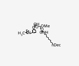 CCCCCCCCCCCCCCCCCCNC(=O)OCC(COP(O)Oc1cccc(CN2C=C(C)SC2)c1)OC